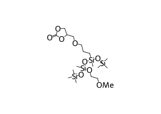 COCCO[Si](C)(O[Si](C)(C)C)O[Si](C)(CCCOCC1COC(=O)O1)O[Si](C)(C)C